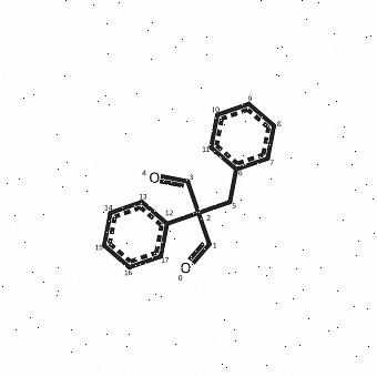 O=CC(C=O)(Cc1ccccc1)c1ccccc1